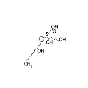 CCCCCC=CCC(O)C=Cc1cccc(C(SCCC(=O)O)C(O)CCCCO)c1